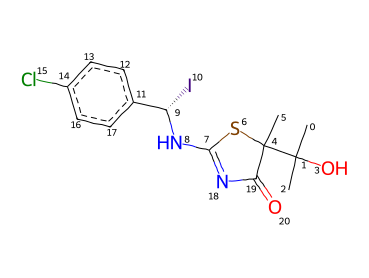 CC(C)(O)C1(C)SC(N[C@@H](I)c2ccc(Cl)cc2)=NC1=O